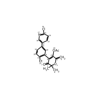 C=C1OC(C)(C)C(=O)C(c2cc(-c3ccc(Cl)nc3)ccc2CC)=C1OC(C)=O